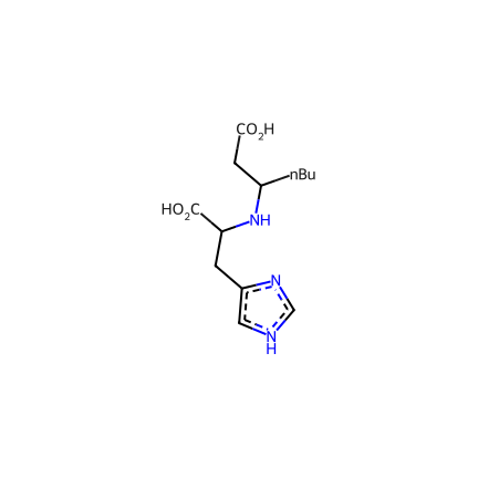 CCCCC(CC(=O)O)NC(Cc1c[nH]cn1)C(=O)O